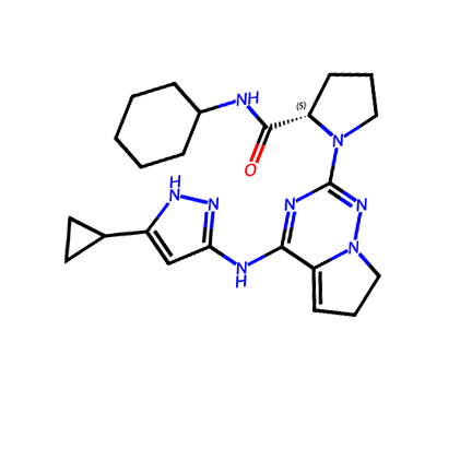 O=C(NC1CCCCC1)[C@@H]1CCCN1C1=NN2CCC=C2C(Nc2cc(C3CC3)[nH]n2)=N1